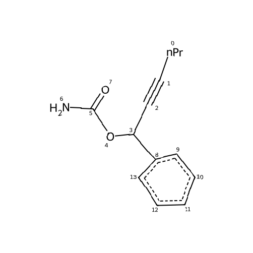 CCCC#CC(OC(N)=O)c1ccccc1